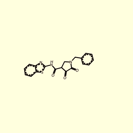 O=C(Nc1nc2ccccc2s1)C1CN(Cc2ccccc2)C(=O)C1=O